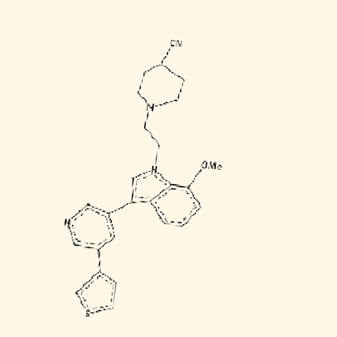 COc1cccc2c(-c3cncc(-c4ccsc4)c3)cn(CCN3CCC(C#N)CC3)c12